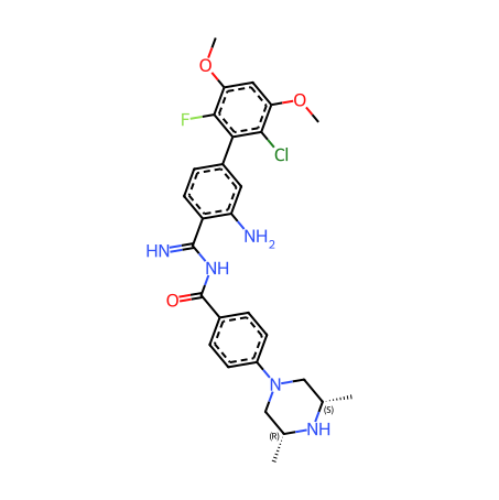 COc1cc(OC)c(Cl)c(-c2ccc(C(=N)NC(=O)c3ccc(N4C[C@@H](C)N[C@@H](C)C4)cc3)c(N)c2)c1F